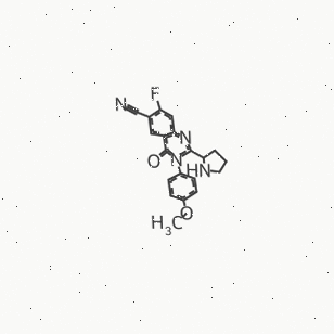 COc1ccc(-n2c(C3CCCN3)nc3cc(F)c(C#N)cc3c2=O)cc1